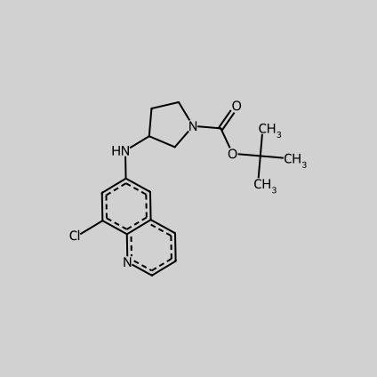 CC(C)(C)OC(=O)N1CCC(Nc2cc(Cl)c3ncccc3c2)C1